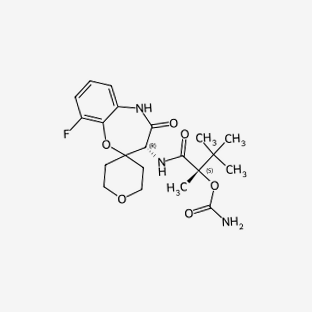 CC(C)(C)[C@](C)(OC(N)=O)C(=O)N[C@H]1C(=O)Nc2cccc(F)c2OC12CCOCC2